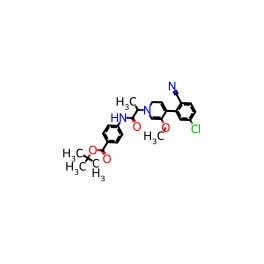 COC1=CN(C(C)C(=O)Nc2ccc(C(=O)OC(C)(C)C)cc2)CC=C1c1cc(Cl)ccc1C#N